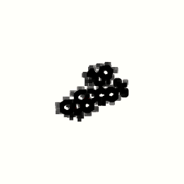 CS(=O)(=O)c1ccc2nc(-c3ccc(C(F)(F)F)cc3)c(CN3CCC(N4CCCCC4)CC3)c(C(=O)NC3(c4ccccc4)CC3)c2c1